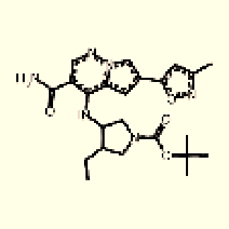 CCC1CN(C(=O)OC(C)(C)C)CC1Nc1c(C(N)=O)cnn2cc(-c3cc(C)no3)cc12